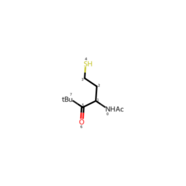 CC(=O)NC(CCS)C(=O)C(C)(C)C